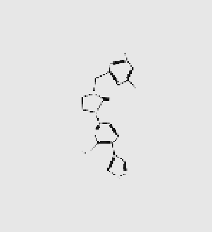 COc1nc(N2CCN(Cc3cc(F)cc(F)c3)C2=O)ccc1-c1cn[nH]c1